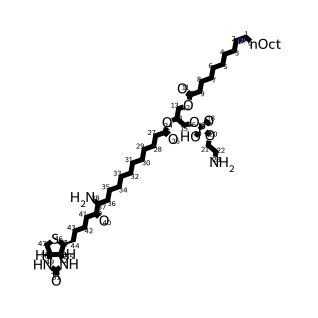 CCCCCCCC/C=C\CCCCCCCC(=O)OCC(COP(=O)(O)OCCN)OC(=O)CCCCCCCCCCC(N)C(=O)CCCC[C@@H]1SC[C@@H]2NC(=O)N[C@@H]21